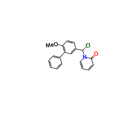 COc1ccc(C(Cl)n2ccccc2=O)cc1-c1ccccc1